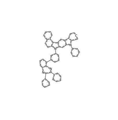 c1ccc(-c2nc3cccc(-c4cccc(-n5c6cc7c(cc6c6c8ccccc8ccc65)c5ccccc5n7-c5ccccc5)c4)c3nc2-c2ccccc2)cc1